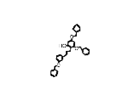 Oc1cc(OCc2ccccc2)cc(OCc2ccccc2)c1C/C=C/c1cccc(OCc2ccccc2)c1